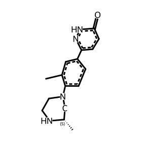 Cc1cc(-c2ccc(=O)[nH]n2)ccc1N1CCN[C@@H](C)C1